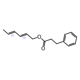 C/C=C/C=C/COC(=O)CCc1ccccc1